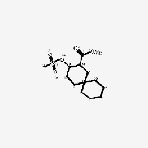 COC(=O)[C@H]1CC2(CCCCC2)CC[C@H]1OS(C)(=O)=O